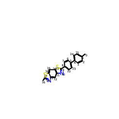 Cc1ccc(-c2ccc(-c3nc4cc5nc(C)sc5cc4s3)cc2)cc1